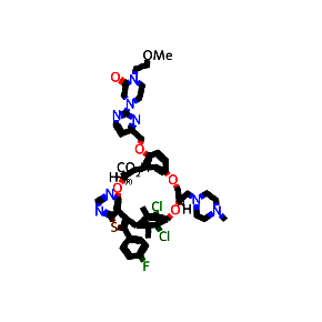 COCCN1CCN(c2nccc(COc3ccc4cc3C[C@H](C(=O)O)Oc3ncnc5sc(-c6ccc(F)cc6)c(c35)-c3c(C)c(Cl)c(c(Cl)c3C)O[C@H](CN3CCN(C)CC3)CO4)n2)CC1=O